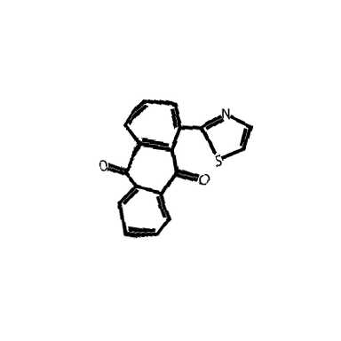 O=C1c2ccccc2C(=O)c2c1cccc2-c1nccs1